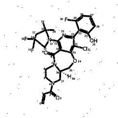 C=CC(=O)N1CCN2C(=O)c3c(N4CC(F)(F)CC4(C)C)nc(-c4c(O)cccc4F)c(Cl)c3OC[C@H]2C1